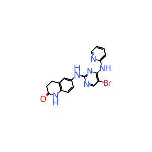 O=C1CCc2cc(Nc3ncc(Br)c(Nc4ccccn4)n3)ccc2N1